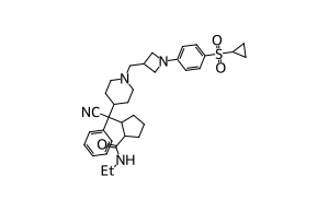 CCNC(=O)C1CCCC1C(C#N)(c1ccccc1)C1CCN(CC2CN(c3ccc(S(=O)(=O)C4CC4)cc3)C2)CC1